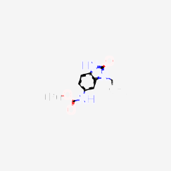 CC(C)(C)OC(=O)Nc1ccc2[nH]c(=O)n(CC(F)(F)F)c2c1